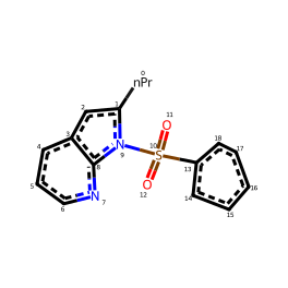 CCCc1cc2cccnc2n1S(=O)(=O)c1ccccc1